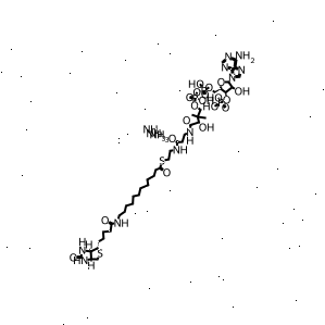 CC(C)(COP(=O)(O)OP(=O)(O)OC[C@H]1O[C@@H](n2cnc3c(N)ncnc32)C(O)[C@H]1OP(=O)(O)O)[C@@H](O)C(=O)NCCC(=O)NCCSC(=O)CCCCCCCCCCCNC(=O)CCCC[C@@H]1SC[C@@H]2NC(=O)N[C@@H]21.N.N.N